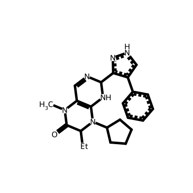 CCC1C(=O)N(C)C2=C(NC(c3n[nH]cc3-c3ccccc3)N=C2)N1C1CCCC1